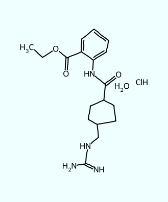 CCOC(=O)c1ccccc1NC(=O)C1CCC(CNC(=N)N)CC1.Cl.O